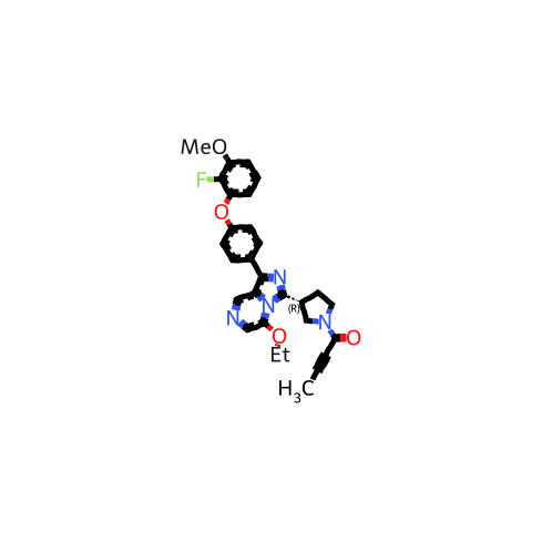 CC#CC(=O)N1CC[C@@H](c2nc(-c3ccc(Oc4cccc(OC)c4F)cc3)c3cncc(OCC)n23)C1